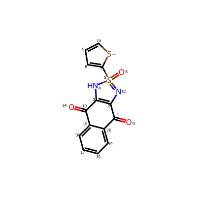 O=C1C2=C(NS(=O)(c3cccs3)=N2)C(=O)c2ccccc21